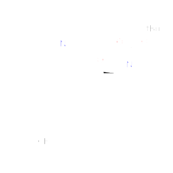 CC(C)(C)OC(=O)N1CC[C@H]1COc1cncc(C#Cc2cccc(C(F)(F)F)c2)c1